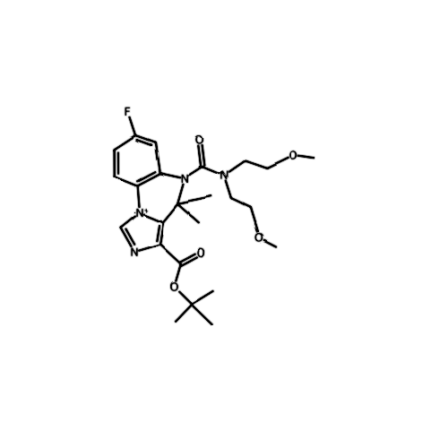 COCCN(CCOC)C(=O)N1c2cc(F)ccc2[N+]2C=NC(C(=O)OC(C)(C)C)=C2C1(C)C